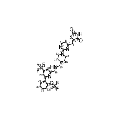 O=C1NC(=O)/C(=C/c2ccnc(N3CCC(CNCc4cc(C(F)(F)F)cc(-c5ccccc5OC(F)(F)F)n4)CC3)n2)S1